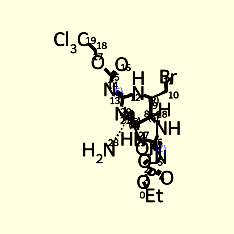 CCOS(=O)(=O)/N=C1/N[C@H]2[C@H](CBr)N/C(=N\C(=O)OCC(Cl)(Cl)Cl)N3C[C@H](N)[C@H](O)[C@]23N1